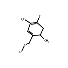 CC(=O)SCC1=CC(C)=C(C(F)(F)F)CC1C